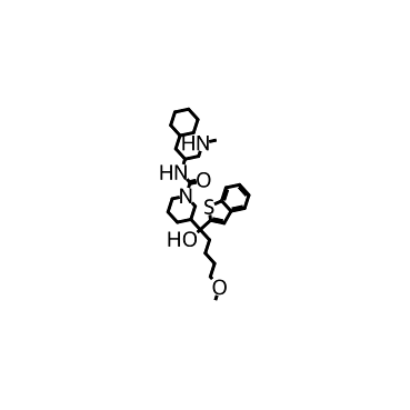 CNCC(CC1CCCCC1)NC(=O)N1CCCC(C(O)(CCCCOC)c2cc3ccccc3s2)C1